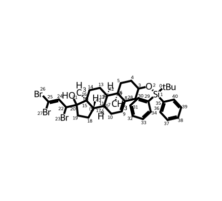 CC(C)(C)[Si](OC1CC[C@@]2(C)C(=CC[C@@H]3[C@H]2CC[C@@]2(C)[C@H]3CCC2(O)C(Br)C=C(Br)Br)C1)(c1ccccc1)c1ccccc1